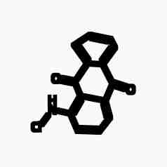 O=C1c2ccccc2C(=O)c2c(NCl)cccc21